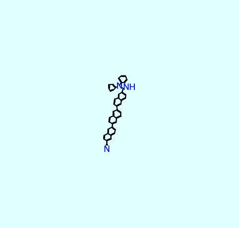 N#Cc1ccc2cc(-c3ccc4cc(-c5ccc6cc(C7Nc8ccccc8N7c7ccccc7)ccc6c5)ccc4c3)ccc2c1